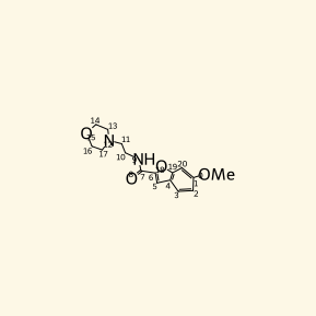 COc1ccc2cc(C(=O)NCCN3CCOCC3)oc2c1